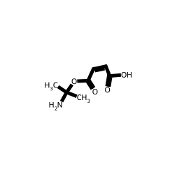 CC(C)(N)OC(=O)/C=C\C(=O)O